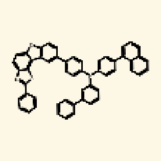 c1ccc(-c2cccc(N(c3ccc(-c4ccc5oc6ccc7nc(-c8ccccc8)sc7c6c5c4)cc3)c3ccc(-c4cccc5ccccc45)cc3)c2)cc1